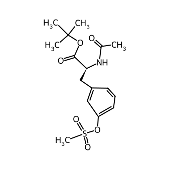 CC(=O)N[C@@H](Cc1cccc(OS(C)(=O)=O)c1)C(=O)OC(C)(C)C